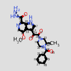 COc1cnc(C(=O)NN)c2[nH]cc(C(=O)C(=O)N3CCN(C(=O)c4ccccc4)C(C)C3)c12